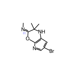 C/N=C1/Oc2ncc(Br)cc2NC1(C)C